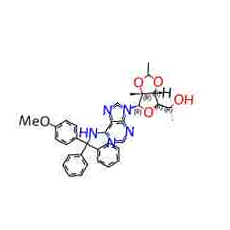 COc1ccc(C(Nc2ncnc3c2ncn3[C@@H]2O[C@H]([C@@H](C)O)[C@H]3OC(C)O[C@]32C)(c2ccccc2)c2ccccc2)cc1